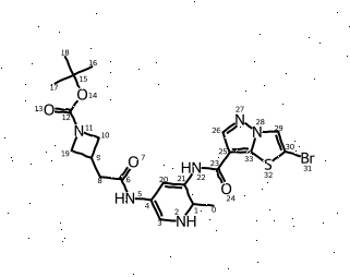 CC1NC=C(NC(=O)CC2CN(C(=O)OC(C)(C)C)C2)C=C1NC(=O)c1cnn2cc(Br)sc12